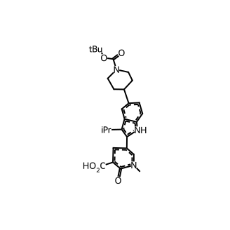 CC(C)c1c(-c2cc(C(=O)O)c(=O)n(C)c2)[nH]c2ccc(C3CCN(C(=O)OC(C)(C)C)CC3)cc12